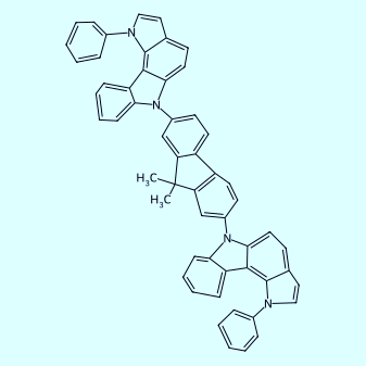 CC1(C)c2cc(-n3c4ccccc4c4c5c(ccc43)ccn5-c3ccccc3)ccc2-c2ccc(-n3c4ccccc4c4c5c(ccc43)ccn5-c3ccccc3)cc21